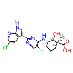 C[C@@]1(C(=O)O)CCC[C@H](Nc2nc(-c3c[nH]c4ncc(Cl)cc34)ncc2F)[C@H]1O